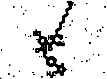 Cc1ncsc1-c1ccc(CNC(=O)[C@@H]2C[C@@H](O)CN2C(=O)C(NC(=O)CCCCCCCCBr)C(C)(C)C)cc1